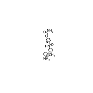 C[C@@]1(c2cccc(NC(=O)c3ccc(OCC(N)=O)cn3)c2)CCSC(N)=N1